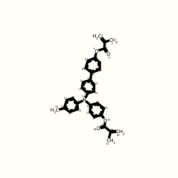 C=C(C)C(=O)Oc1ccc(-c2ccc(N(c3ccc(C)cc3)c3ccc(OC(=O)C(=C)C)cc3)cc2)cc1